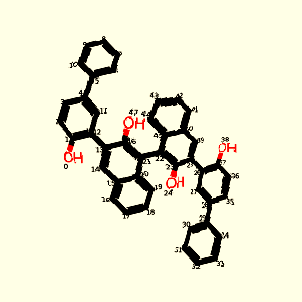 Oc1ccc(-c2ccccc2)cc1-c1cc2ccccc2c(-c2c(O)c(-c3cc(-c4ccccc4)ccc3O)cc3ccccc23)c1O